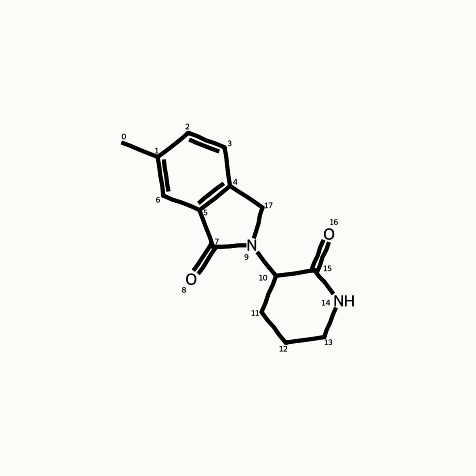 Cc1ccc2c(c1)C(=O)N(C1CCCNC1=O)C2